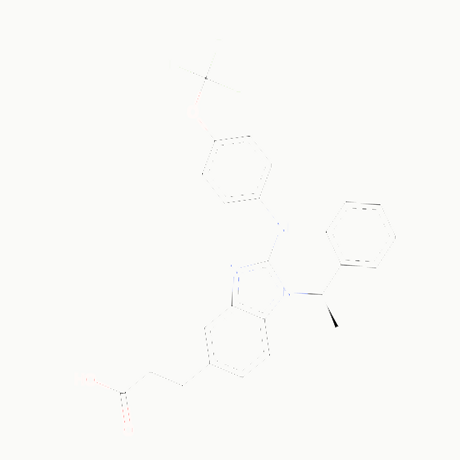 C[C@H](c1ccccc1)n1c(Nc2ccc(OC(F)(F)F)cc2)nc2cc(CCC(=O)O)ccc21